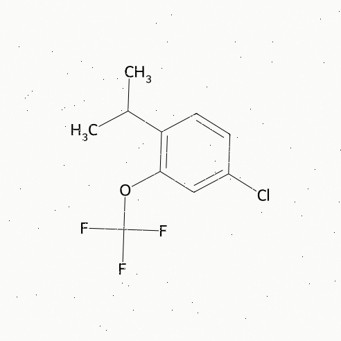 CC(C)c1ccc(Cl)cc1OC(F)(F)F